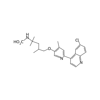 Cc1cc(-c2ccnc3ccc(Cl)cc23)ncc1OCC(C)CC(C)(C)NC(=O)O